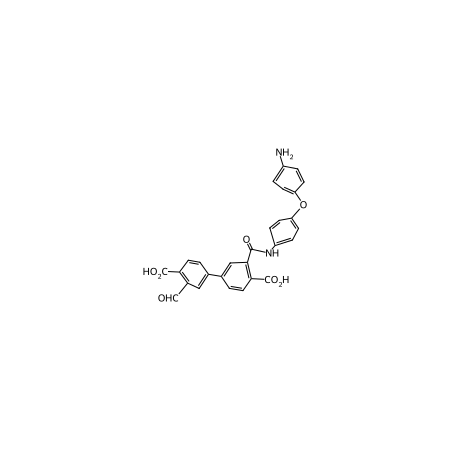 Nc1ccc(Oc2ccc(NC(=O)c3cc(-c4ccc(C(=O)O)c(C=O)c4)ccc3C(=O)O)cc2)cc1